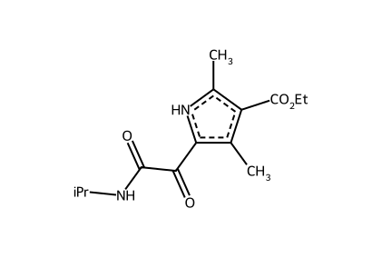 CCOC(=O)c1c(C)[nH]c(C(=O)C(=O)NC(C)C)c1C